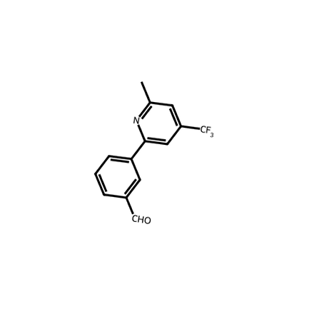 Cc1cc(C(F)(F)F)cc(-c2cccc(C=O)c2)n1